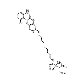 CCc1cccc(C)c1-c1cc2cnc(OCCCCCCCCCOC(=O)C(C)(C)C(C)CC(C)(C)C)cc2oc1=O